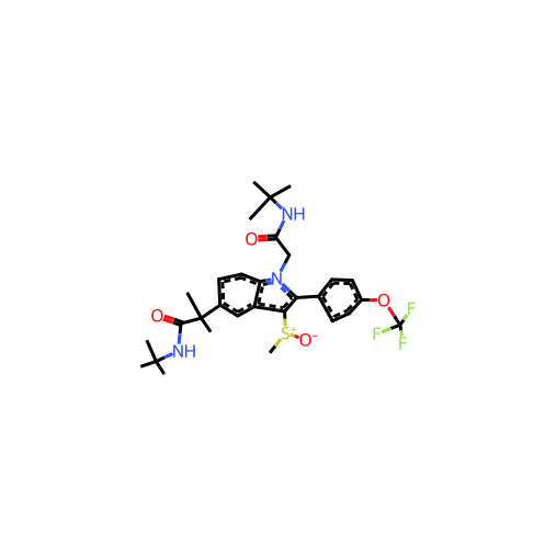 C[S+]([O-])c1c(-c2ccc(OC(F)(F)F)cc2)n(CC(=O)NC(C)(C)C)c2ccc(C(C)(C)C(=O)NC(C)(C)C)cc12